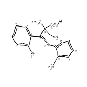 CCc1ccccc1C(=Nc1ccccc1N)C(CC)(C(=O)O)C(=O)O